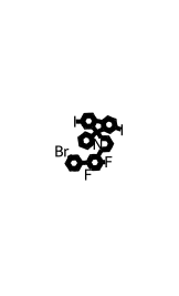 Fc1cc(F)c(-c2cccc(C3(c4ccccc4)c4cc(I)ccc4-c4ccc(I)cc43)n2)cc1-c1cccc(Br)c1